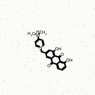 [CH3][SnH]([CH3])[c]1cc[n+](Cc2cc(O)c3c(c2)C(=O)c2cccc(O)c2C3=O)cc1